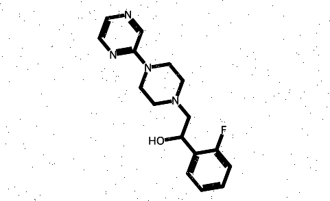 OC(CN1CCN(c2cnccn2)CC1)c1ccccc1F